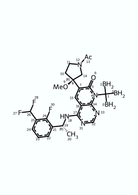 BC(B)(B)n1c(=O)c([C@]2(OC)CCN(C(C)=O)C2)cc2c(N[C@H](C)c3cccc(C(F)F)c3F)ncnc21